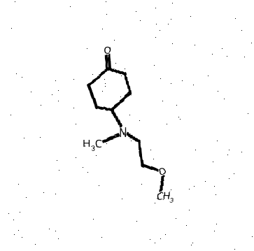 COCCN(C)C1CCC(=O)CC1